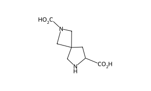 O=C(O)C1CC2(CN1)CN(C(=O)O)C2